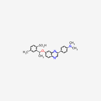 Cc1ccc(S(=O)(=O)O)c(C(C)Oc2ccc3ncc(-c4ccc(N(C)C)cc4)nc3c2)c1